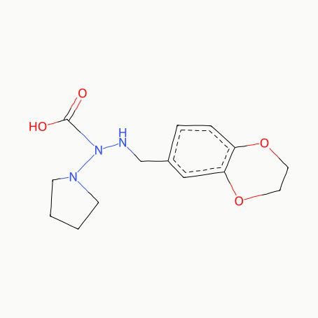 O=C(O)N(NCc1ccc2c(c1)OCCO2)N1CCCC1